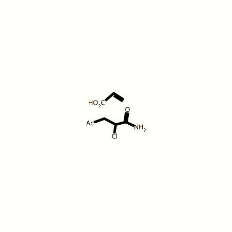 C=CC(=O)O.CC(=O)CC(Cl)C(N)=O